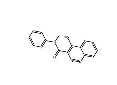 CN(C(=O)c1nnc2ccccc2c1O)c1ccccc1